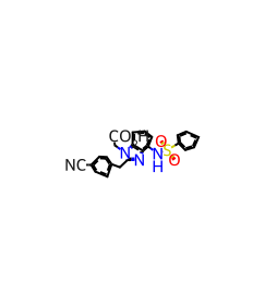 N#Cc1ccc(Cc2nc3c(NS(=O)(=O)c4ccccc4)cccc3n2CC(=O)O)cc1